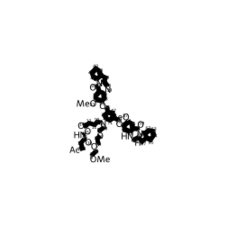 COCCOCCOCCN(CCCC(=O)ONC(=O)CCC(C)=O)c1cc(COc2cc3c(cc2OC)C(=O)N2C(=C=N3)Cc3ccccc32)cc(COc2cc3c(cc2OC)C(=O)N2c4ccccc4C[C@H]2CN3)c1